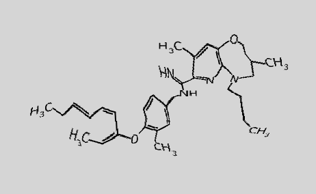 C\C=C(/C=C\C=C\CC)Oc1ccc(NC(=N)c2nc3c(cc2C)OCC(C)CN3CCCC)cc1C